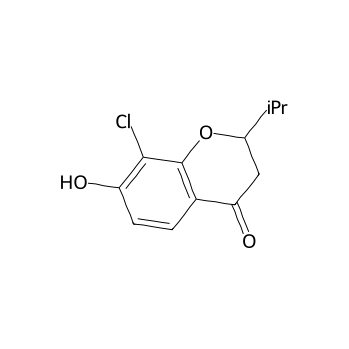 CC(C)C1CC(=O)c2ccc(O)c(Cl)c2O1